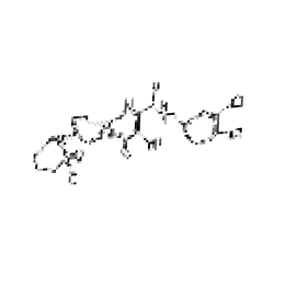 O=C(NCc1ccc(Cl)c(Cl)c1)c1nc2ccc(N3CCCCS3(=O)=O)cn2c(=O)c1O